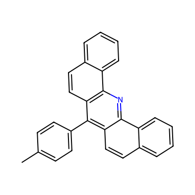 Cc1ccc(-c2c3ccc4ccccc4c3nc3c2ccc2ccccc23)cc1